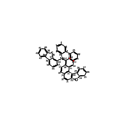 c1ccc(-c2ccccc2N(c2cccc3c2ccc2ccc4oc5ccccc5c4c23)c2cccc3c2sc2ccccc23)cc1